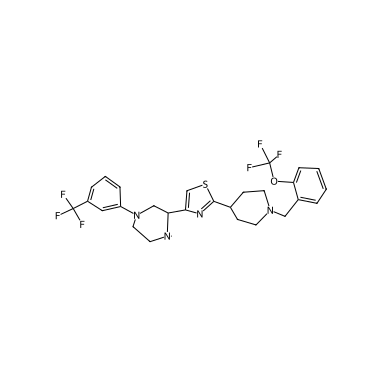 FC(F)(F)Oc1ccccc1CN1CCC(c2nc(C3CN(c4cccc(C(F)(F)F)c4)CC[N]3)cs2)CC1